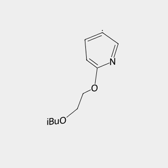 CC(C)COCCOc1cc[c]cn1